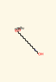 CCCCOC(CCCCCCCCCCCCC/C=C/CCO)OCCCC